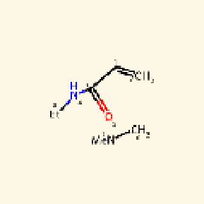 C=CC(=O)NCC.CNC